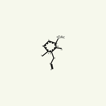 C=CCc1c(C)ccc(OC(C)=O)c1C